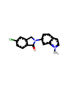 Cn1ccc2ccc(N3Cc4cc(Cl)ccc4C3=O)cc21